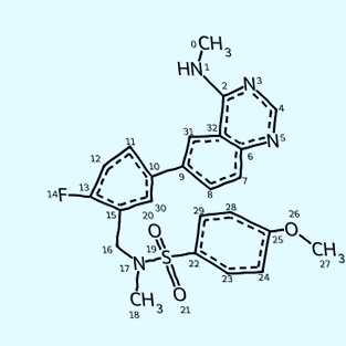 CNc1ncnc2ccc(-c3ccc(F)c(CN(C)S(=O)(=O)c4ccc(OC)cc4)c3)cc12